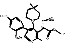 COc1nc(OCC(C)C)ccc1-c1cnc(C)c([C@H](OC(C)(C)C)C(=O)OC(C)C)c1N1CCC(C)(C)CC1